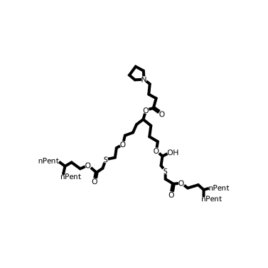 CCCCCC(CCCCC)CCOC(=O)CSCCOCCCC(CCCOC(O)CSCC(=O)OCCC(CCCCC)CCCCC)OC(=O)CCCN1CCCC1